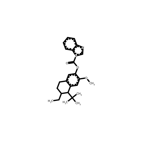 CCC1CCc2cc(OC(=O)n3cnc4ccccc43)c(OC)cc2C1C(C)(C)C